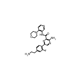 NCCc1ccc(-c2cnc(N)c(C(=O)Nc3cnccc3N3CCOCC3)n2)c(F)c1